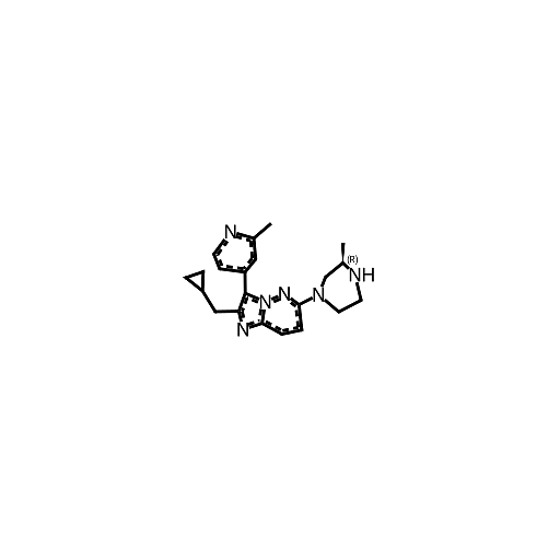 Cc1cc(-c2c(CC3CC3)nc3ccc(N4CCN[C@H](C)C4)nn23)ccn1